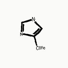 COC1=C[N]C=N1